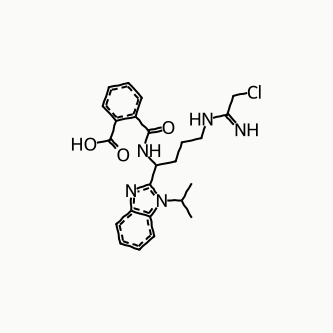 CC(C)n1c(C(CCCNC(=N)CCl)NC(=O)c2ccccc2C(=O)O)nc2ccccc21